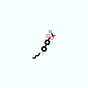 CCCCCSc1ccc(-c2ccc(C(=O)O[C@H](C)C#N)cc2)cc1